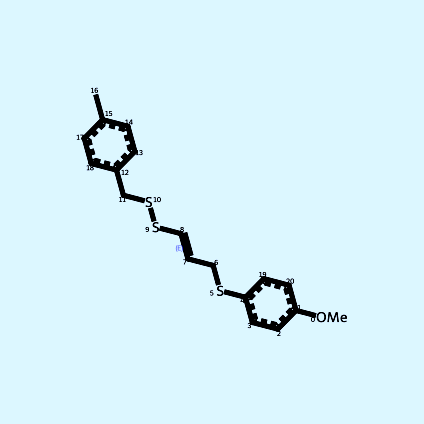 COc1ccc(SC/C=C/SSCc2ccc(C)cc2)cc1